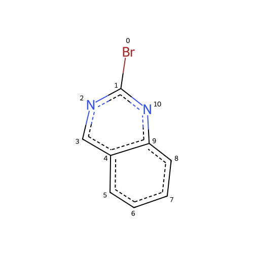 Brc1ncc2ccccc2n1